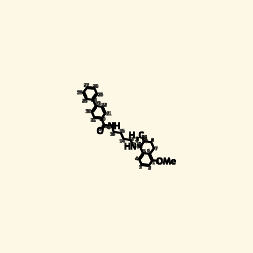 COc1cccc2c1CC[C@H](C)[C@H]2NCCCCNC(=O)c1ccc(-c2ccccc2)cc1